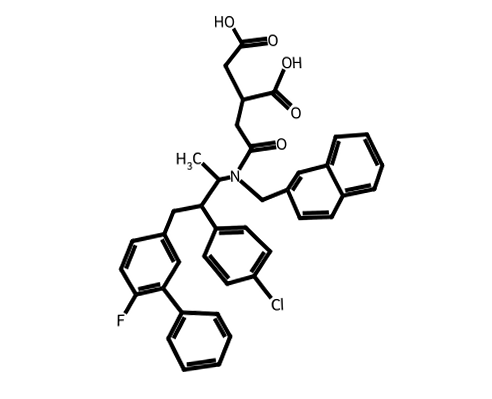 CC(C(Cc1ccc(F)c(-c2ccccc2)c1)c1ccc(Cl)cc1)N(Cc1ccc2ccccc2c1)C(=O)CC(CC(=O)O)C(=O)O